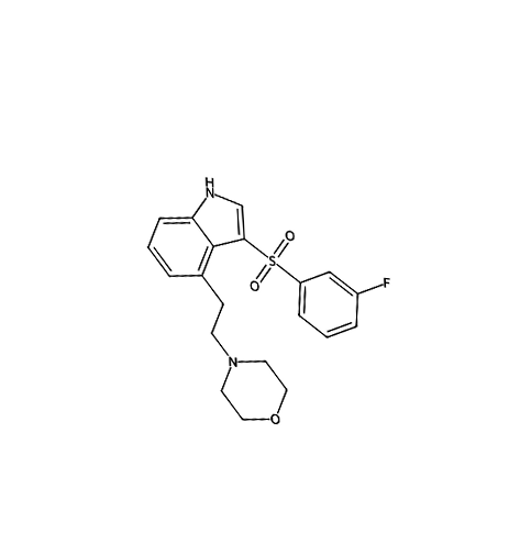 O=S(=O)(c1cccc(F)c1)c1c[nH]c2cccc(CCN3CCOCC3)c12